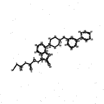 CCNCC(=O)OCn1c(=O)oc2c(N3CCN(Cc4cccc(-c5ccccc5)c4)CC3)cccc21